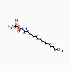 CCCCCCCCCCCCCCCCNC(=O)OC(C)(C)C